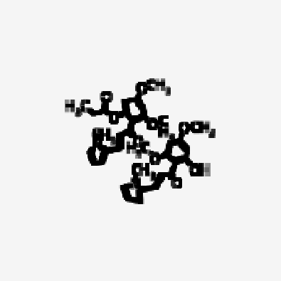 CCC(=O)Oc1cc(OC)cc(OC)c1C(=O)C=Cc1cccn1C.COc1cc(O)c(C(=O)C=Cc2cccn2C)c(OC)c1